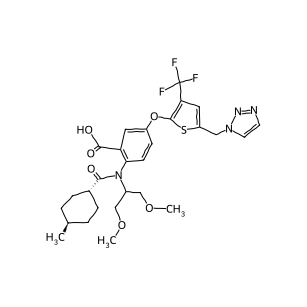 COCC(COC)N(c1ccc(Oc2sc(Cn3ccnn3)cc2C(F)(F)F)cc1C(=O)O)C(=O)[C@H]1CC[C@H](C)CC1